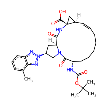 Cc1cccc2nn([C@H]3C[C@H]4C(=O)N[C@]5(C(=O)O)C[C@H]5/C=C\CCCCC[C@H](NC(=O)OC(C)(C)C)C(=O)N4C3)nc12